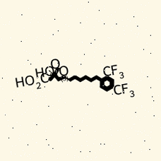 O=C(O)C[C@]1(O)C[C@H](CCCCCCc2ccc(C(F)(F)F)cc2C(F)(F)F)OC1=O